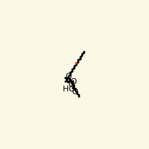 CCCCCCCCCCCCCCCCOc1cc(C(=O)OCC(O)COCCCC)cc(C)c1C